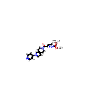 CCCCOC(=O)N[C@@H](CCC(=O)N1CCC2(CC1)CCN(c1ccncc1)C2)C(=O)O